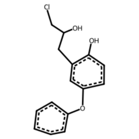 Oc1ccc(Oc2ccccc2)cc1CC(O)CCl